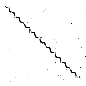 COCCOCCOCCOCCOCCOCCOCCOCCOCCN